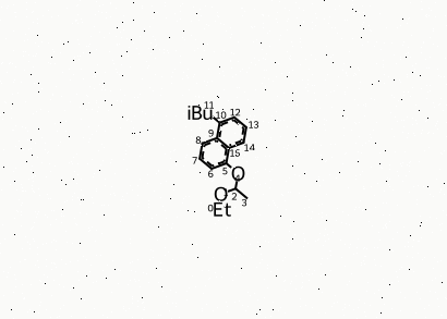 CCOC(C)Oc1cccc2c(C(C)CC)cccc12